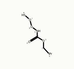 CC(C)COC(=O)NOOS